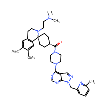 COc1cc2c(cc1OC)[C@]1(CC[C@H](C(=O)N3CCN(c4ncnc5c4cnn5Cc4cccc(C)n4)CC3)CC1)N(CCN(C)C)CC2